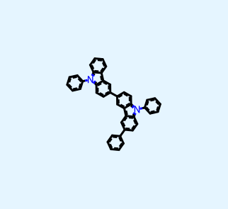 c1ccc(-c2ccc3c(c2)c2cc(-c4ccc5c(c4)c4ccccc4n5-c4ccccc4)ccc2n3-c2ccccc2)cc1